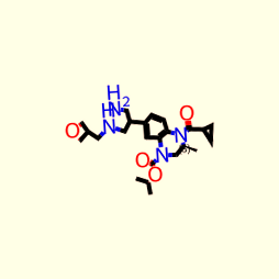 CC(C)OC(=O)N1C[C@H](C)N(C(=O)C2CC2)c2ccc(C(CN)CNCC3COC3)cc21